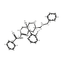 O=C(NC1=N[C@@]2(c3ccccc3F)C[C@H](COCc3ccccc3)OC[C@H]2CS1)c1ccccc1